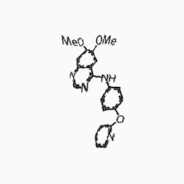 COc1cc2ncnc(Nc3ccc(Oc4ccccn4)cc3)c2cc1OC